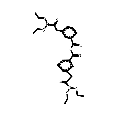 CCSN(SCC)C(=S)Cc1cccc(C(=O)OC(=O)c2cccc(CC(=S)N(SCC)SCC)c2)c1